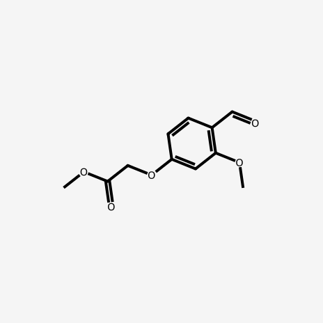 COC(=O)COc1ccc(C=O)c(OC)c1